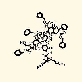 CCCCO[C@H](C(=O)N[C@@H]1C[C@H](N)[C@@H](O[C@H]2O[C@H](CN(CCO)C(=O)OCc3ccccc3)[C@@H](O)C[C@H]2NC(=O)OCc2ccccc2)[C@H](O[C@@H]2O[C@H](CO)[C@@H](O[C@H]3O[C@H]4CN(C(=O)OCc5ccccc5)C(c5ccccc5)O[C@H]4[C@H](O)[C@H]3NC(=O)OCc3ccccc3)[C@H]2O)[C@H]1O)C(F)(F)CN=[N+]=[N-]